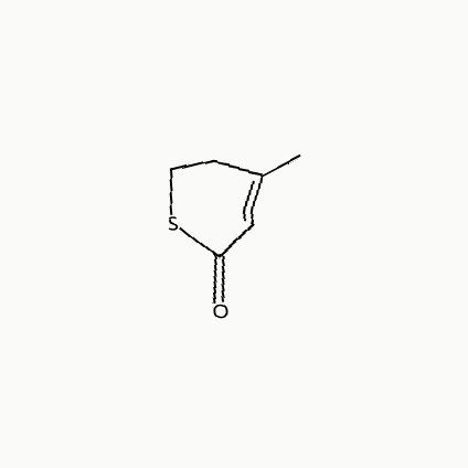 CC1=CC(=O)SCC1